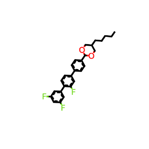 CCCCCC1COC(c2ccc(-c3ccc(-c4cc(F)cc(F)c4)c(F)c3)cc2)OC1